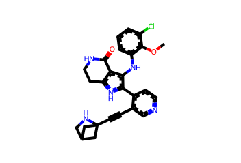 COc1c(Cl)cccc1Nc1c(-c2ccncc2C#CC23CC(CN2)C3)[nH]c2c1C(=O)NCC2